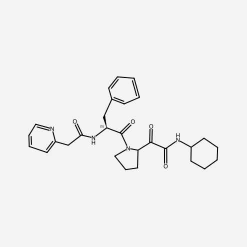 O=C(Cc1ccccn1)N[C@@H](Cc1ccccc1)C(=O)N1CCCC1C(=O)C(=O)NC1CCCCC1